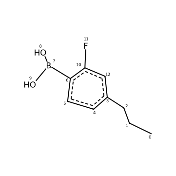 CCCc1ccc(B(O)O)c(F)c1